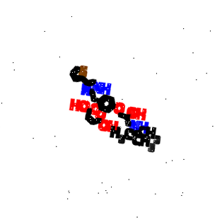 CC(C)(C)NC[C@H](O)COc1ccc(Cc2nc(-c3cccs3)c[nH]2)cc1.O=C(O)/C=C\C(=O)O